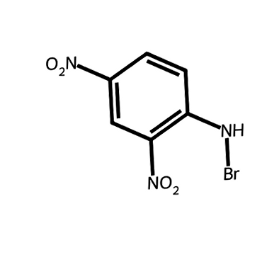 O=[N+]([O-])c1ccc(NBr)c([N+](=O)[O-])c1